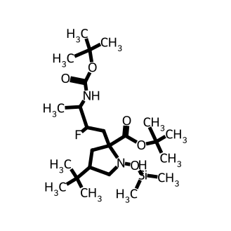 CC(NC(=O)OC(C)(C)C)C(F)CC1(C(=O)OC(C)(C)C)CC(C(C)(C)C)CN1O[SiH](C)C